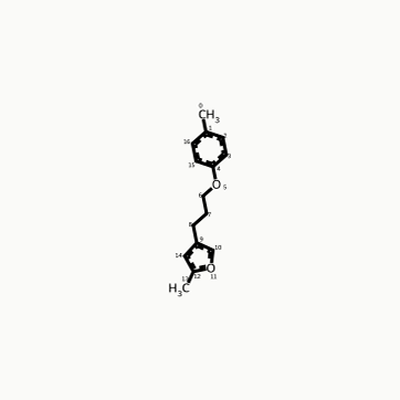 Cc1ccc(OCCCc2coc(C)c2)cc1